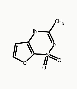 CC1=NS(=O)(=O)c2occc2N1